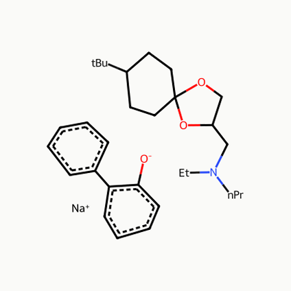 CCCN(CC)CC1COC2(CCC(C(C)(C)C)CC2)O1.[Na+].[O-]c1ccccc1-c1ccccc1